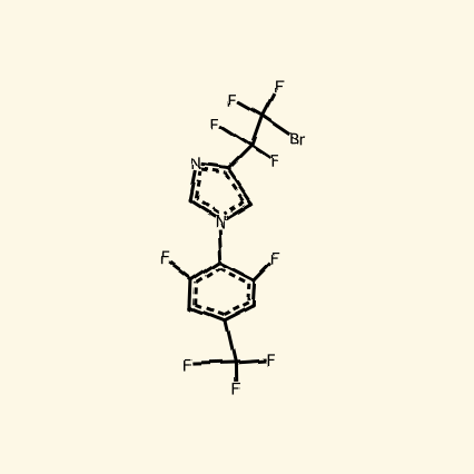 Fc1cc(C(F)(F)F)cc(F)c1-n1cnc(C(F)(F)C(F)(F)Br)c1